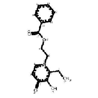 CCc1c(O)c(=O)ccn1CCOC(=O)c1ccccc1